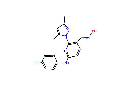 Cc1cc(C)n(-c2nc(Nc3ccc(Cl)cc3)cnc2/C=N/O)n1